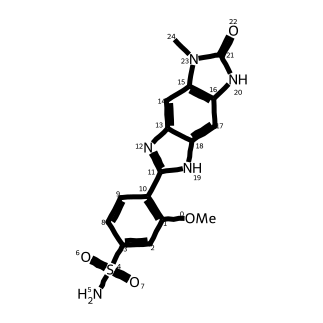 COc1cc(S(N)(=O)=O)ccc1-c1nc2cc3c(cc2[nH]1)[nH]c(=O)n3C